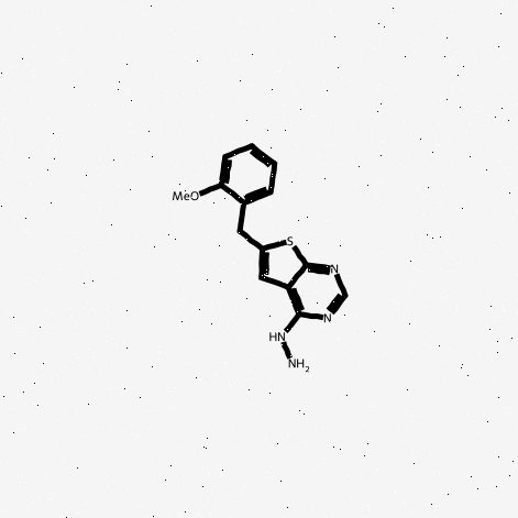 COc1ccccc1Cc1cc2c(NN)ncnc2s1